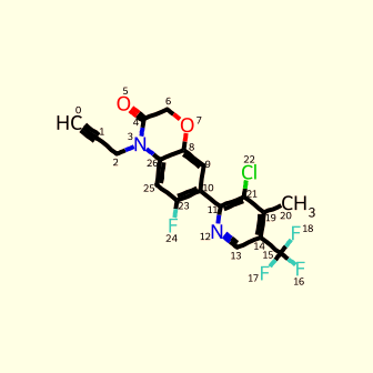 C#CCN1C(=O)COc2cc(-c3ncc(C(F)(F)F)c(C)c3Cl)c(F)cc21